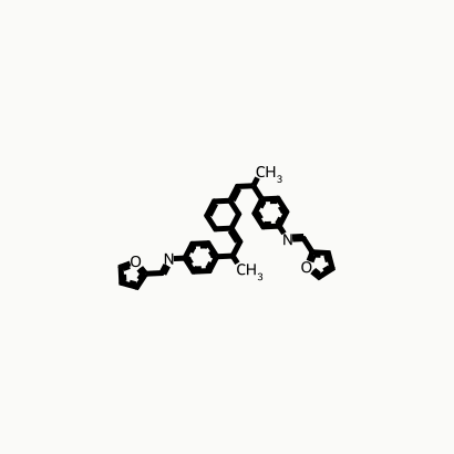 CC(/C=C1/C=CC/C(=C\C(C)c2ccc(/N=C/c3ccco3)cc2)C1)c1ccc(/N=C/c2ccco2)cc1